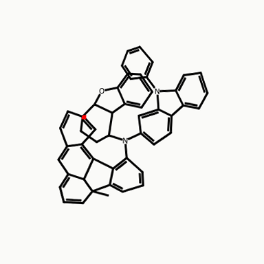 CC12C=CC=C3C=c4ccccc4=C(c4c(N(c5ccc6c7ccccc7n(-c7ccccc7)c6c5)C5CCCC6Oc7ccccc7C65)cccc41)C32